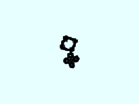 C1=Cc2cc3ccc(cc4nc(cc5ccc(cc1n2)[nH]5)C=C4)[nH]3.c1cc[c]([Au]([c]2ccccc2)([c]2ccccc2)[c]2ccccc2)cc1